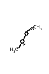 CCCC#Cc1ccc(C#Cc2ccc(C=CCOCC)cc2)cc1F